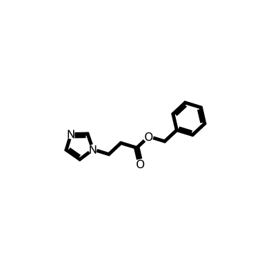 O=C(CCn1ccnc1)OCc1ccccc1